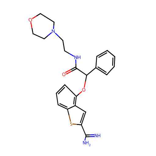 N=C(N)c1cc2c(OC(C(=O)NCCN3CCOCC3)c3ccccc3)cccc2s1